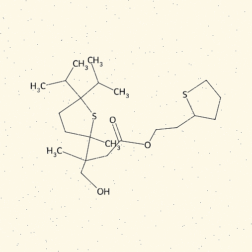 CC(C)C1(C(C)C)CCC(C)(C(C)(CO)CC(=O)OCCC2CCCS2)S1